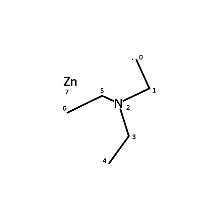 [CH2]CN(CC)CC.[Zn]